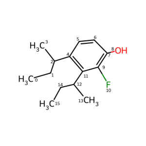 CCC(C)c1ccc(O)c(F)c1C(C)CC